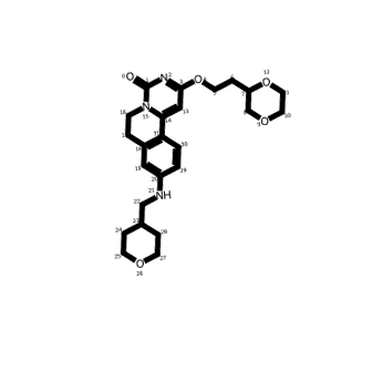 O=c1nc(OCCC2COCCO2)cc2n1CCc1cc(NCC3CCOCC3)ccc1-2